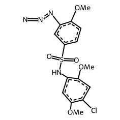 COc1cc(NS(=O)(=O)c2ccc(OC)c(N=[N+]=[N-])c2)c(OC)cc1Cl